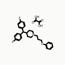 Fc1ccc(C(c2ccc(F)cc2)C2CCN(CCCOc3ccccc3)CC2)cc1.O=C(O)C(=O)O